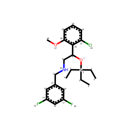 CC[Si](CC)(CC)OC(CNCc1cc(F)cc(F)c1)c1c(Cl)cccc1OC